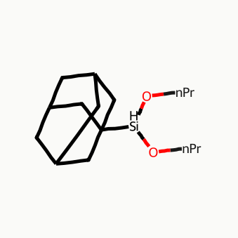 CCCO[SiH](OCCC)C12CC3CC(CC(C3)C1)C2